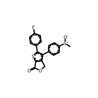 C[S+]([O-])c1ccc(-c2c(-c3ccc(F)cc3)sc3c2COC3=O)cc1